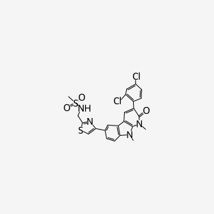 Cn1c(=O)c(-c2ccc(Cl)cc2Cl)cc2c3cc(-c4csc(CNS(C)(=O)=O)n4)ccc3n(C)c21